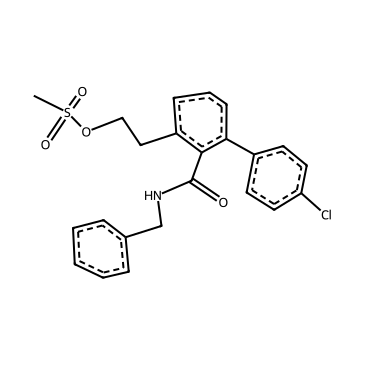 CS(=O)(=O)OCCc1cccc(-c2ccc(Cl)cc2)c1C(=O)NCc1ccccc1